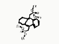 CCOP(=O)(Cc1c2ccccc2c(CP(=O)(OCC)OCC)c2ccccc12)OCC